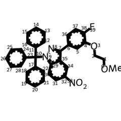 COCCOc1cc(-c2nn(C(c3ccccc3)(c3ccccc3)c3ccccc3)c3ccc([N+](=O)[O-])cc23)ccc1F